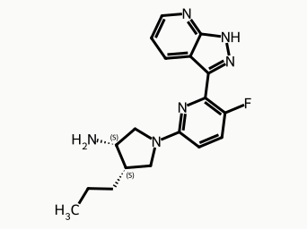 CCC[C@H]1CN(c2ccc(F)c(-c3n[nH]c4ncccc34)n2)C[C@H]1N